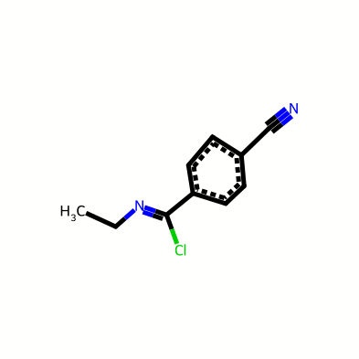 CCN=C(Cl)c1ccc(C#N)cc1